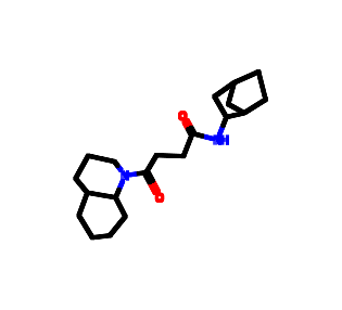 O=C(CCC(=O)N1CCCC2CCCCC21)NC1CC2CCC1C2